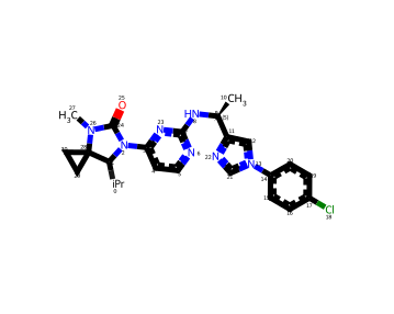 CC(C)C1N(c2ccnc(N[C@@H](C)c3cn(-c4ccc(Cl)cc4)cn3)n2)C(=O)N(C)C12CC2